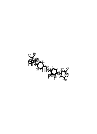 CC1CN(c2ccc(NCC3CCC(NS(=O)(=O)C(C)C)CC3)c(F)c2F)C[C@@H](C)O1